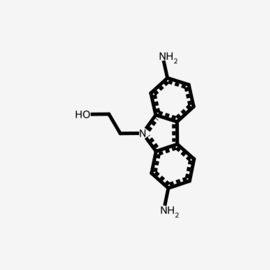 Nc1ccc2c3ccc(N)cc3n(CCO)c2c1